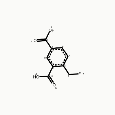 O=C(O)c1ccc(CF)c(C(=O)O)c1